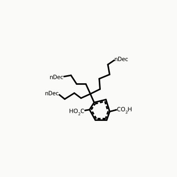 CCCCCCCCCCCCCCC(CCCCCCCCCCCCC)(CCCCCCCCCCCCC)c1cc(C(=O)O)ccc1C(=O)O